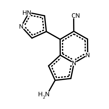 N#Cc1cnn2cc(N)cc2c1-c1cn[nH]c1